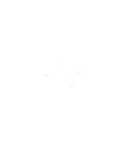 CCC(NC)[SiH](OC)OC